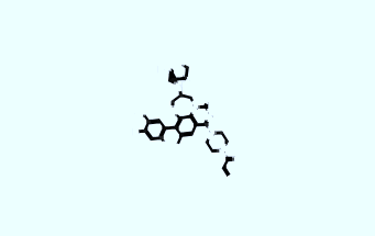 C=CC(=O)N1CCN(c2nc(=O)n3c4c(c(-c5cc(Cl)c(F)cc5F)c(C)cc24)SCC(N2C[C@@H]4C[C@H]2CO4)C3)CC1